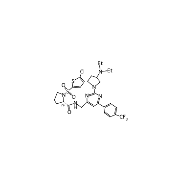 CCN(CC)C1CCN(c2nc(CNC(=O)[C@@H]3CCCN3S(=O)(=O)c3ccc(Cl)s3)cc(-c3ccc(C(F)(F)F)cc3)n2)C1